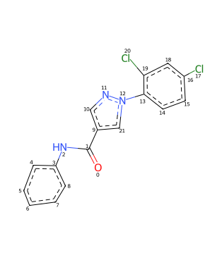 O=C(Nc1ccccc1)c1cnn(-c2ccc(Cl)cc2Cl)c1